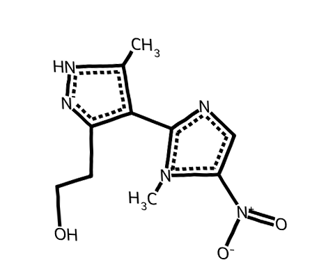 Cc1[nH]nc(CCO)c1-c1ncc([N+](=O)[O-])n1C